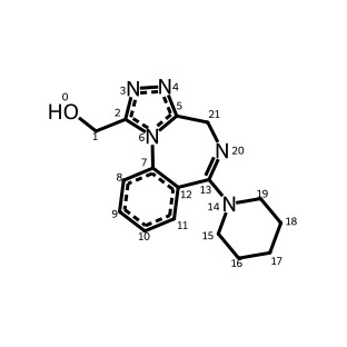 OCc1nnc2n1-c1ccccc1C(N1CCCCC1)=NC2